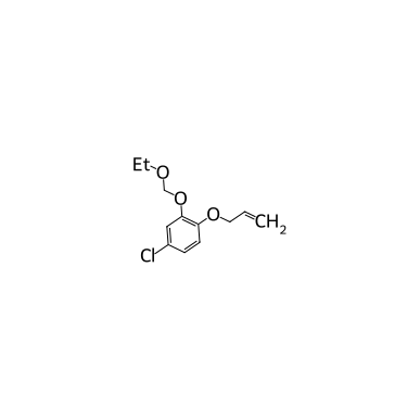 C=CCOc1ccc(Cl)cc1OCOCC